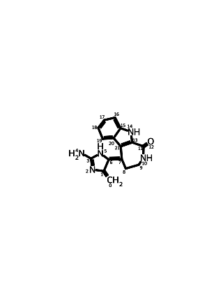 C=c1nc(N)[nH]/c1=C1/CCNC(=O)c2[nH]c3ccccc3c21